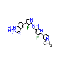 Cc1cc(-c2ncc(CNc3nccc(-c4ccc(N)c(/C=C\N)c4)c3F)cc2F)ccn1